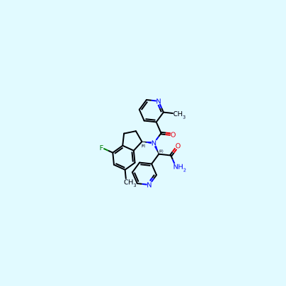 Cc1cc(F)c2c(c1)[C@H](N(C(=O)c1cccnc1C)[C@@H](C(N)=O)c1cccnc1)CC2